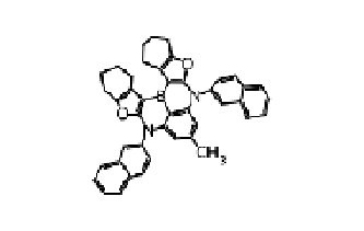 Cc1cc2c3c(c1)N(c1ccc4ccccc4c1)c1oc4c(c1B3c1c(oc3c1CCCC3)N2c1ccc2ccccc2c1)CCCC4